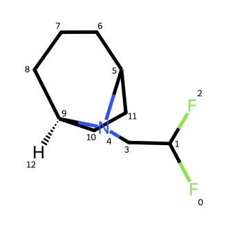 FC(F)CN1C2CCC[C@@H]1CC2